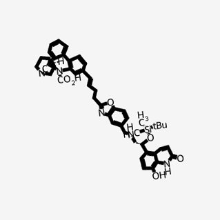 CC(C)(C)[Si](C)(C)O[C@@H](CNCc1ccc2oc(CC/C=C/c3ccc(-c4ccccc4)c(N(C(=O)O)[C@H]4CN5CCC4CC5)c3)nc2c1)c1ccc(O)c2[nH]c(=O)ccc12